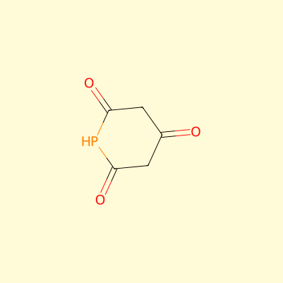 O=C1CC(=O)PC(=O)C1